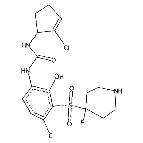 O=C(Nc1ccc(Cl)c(S(=O)(=O)C2(F)CCNCC2)c1O)NC1CCC=C1Cl